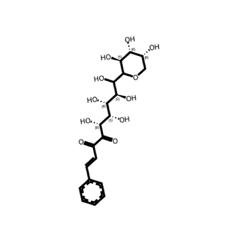 O=C(C=Cc1ccccc1)C(=O)[C@H](O)[C@@H](O)[C@H](O)[C@H](O)C(O)C1OC[C@@H](O)[C@@H](O)[C@@H]1O